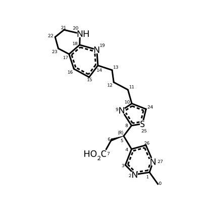 Cc1ncc([C@@H](CC(=O)O)c2nc(CCCc3ccc4c(n3)NCCC4)cs2)cn1